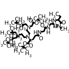 CCC(NC(=O)CNC(=O)CNC(=O)CC[C@@H](C(=O)OC(C)(C)C)N(CCN(CC(=O)OC(C)(C)C)CC(=O)OC(C)(C)C)CCN(CC(=O)OC(C)(C)C)CC(C)(C)C)C(=O)NC